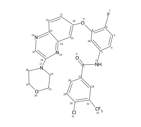 O=C(Nc1ccc(F)c(Oc2ccc3ncc(N4CCOCC4)nc3c2)c1)c1ccc(Cl)c(C(F)(F)F)c1